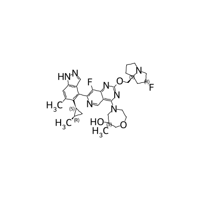 Cc1cc2[nH]ncc2c(-c2ncc3c(N4CCOC[C@@](C)(O)C4)nc(OC[C@@]45CCCN4C[C@H](F)C5)nc3c2F)c1[C@H]1C[C@H]1C